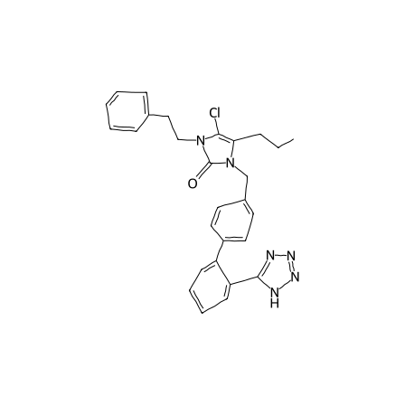 CCCc1c(Cl)n(CCc2ccccc2)c(=O)n1Cc1ccc(-c2ccccc2-c2nnn[nH]2)cc1